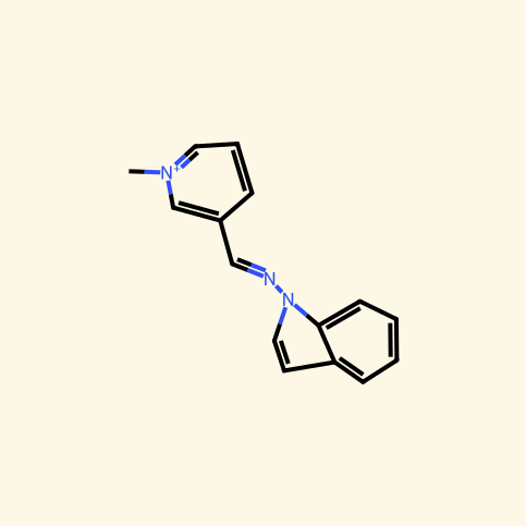 C[n+]1cccc(/C=N/n2ccc3ccccc32)c1